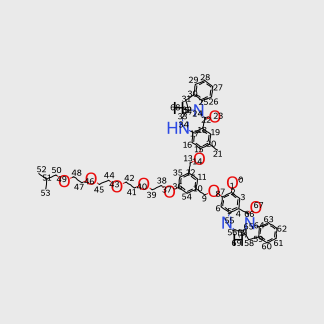 COc1cc2c(cc1OCc1cc(COc3cc4c(cc3C)C(=O)N3c5ccccc5C[C@H]3CN4)cc(OCCOCCOCCOCCOCC(C)C)c1)N=C[C@@H]1Cc3ccccc3N1C2=O